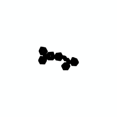 C(/C=C/c1ccc(-c2ccc(N(c3ccccc3)c3ccccc3)cc2)cc1)=C(c1ccccc1)c1ccccc1